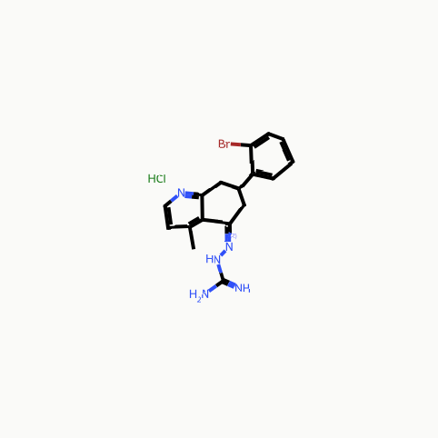 Cc1ccnc2c1/C(=N\NC(=N)N)CC(c1ccccc1Br)C2.Cl